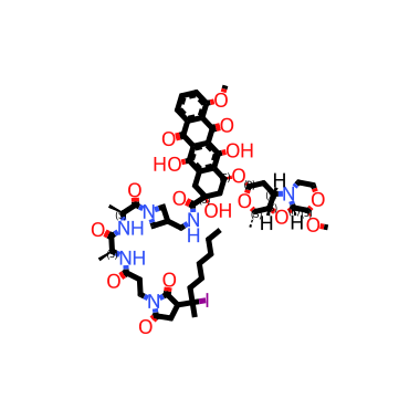 CCCCCCC(C)(I)C1CC(=O)N(CCC(=O)N[C@@H](C)C(=O)N[C@@H](C)C(=O)N2CC(CNC(=O)[C@]3(O)Cc4c(O)c5c(c(O)c4[C@@H](O[C@H]4C[C@H]6[C@H](O[C@@H]7[C@@H](OC)OCCN76)[C@H](C)O4)C3)C(=O)c3c(OC)cccc3C5=O)C2)C1=O